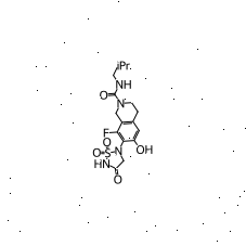 CC(C)CNC(=O)N1CCc2cc(O)c(N3CC(=O)NS3(=O)=O)c(F)c2C1